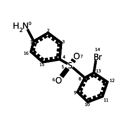 Nc1ccc(S(=O)(=O)c2ccccc2Br)cc1